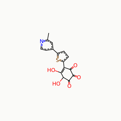 Cc1cc(-c2ccc(C3=C(O)C(O)C(=O)C(=O)C3=O)s2)ccn1